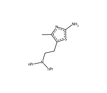 CCCN(CCC)CCc1sc(N)nc1C